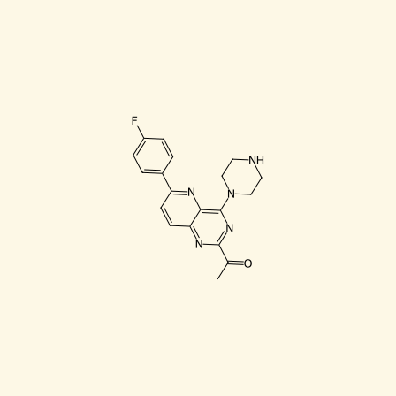 CC(=O)c1nc(N2CCNCC2)c2nc(-c3ccc(F)cc3)ccc2n1